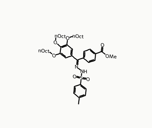 CCCCCCCCOc1cc(/C(=N/NS(=O)(=O)c2ccc(C)cc2)c2ccc(C(=O)OC)cc2)cc(OCCCCCCCC)c1OCCCCCCCC